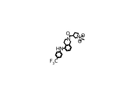 CS(=O)(=O)N1CCC(C(=O)N2CCc3c(cccc3Nc3ccc(C(F)(F)F)cc3)C2)C1